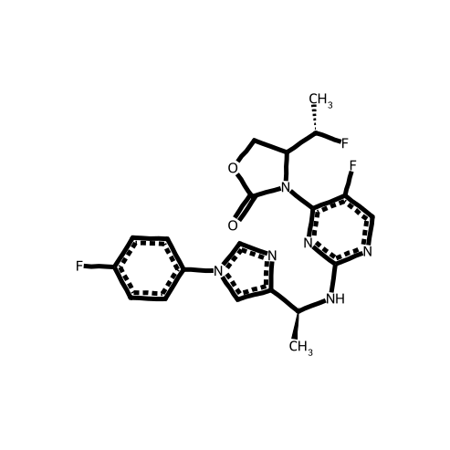 C[C@H](Nc1ncc(F)c(N2C(=O)OCC2[C@H](C)F)n1)c1cn(-c2ccc(F)cc2)cn1